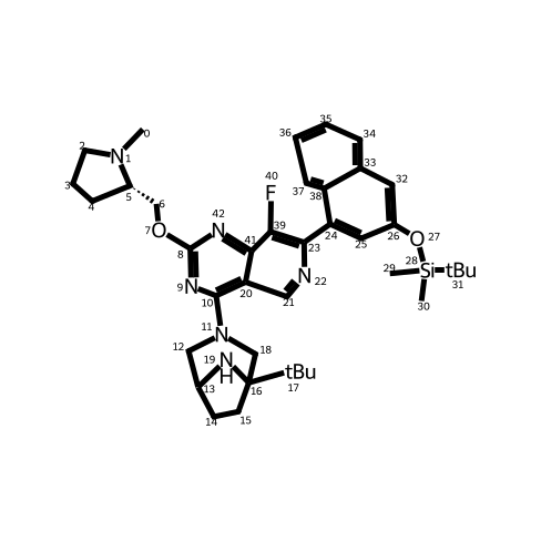 CN1CCC[C@H]1COc1nc(N2CC3CCC(C(C)(C)C)(C2)N3)c2cnc(-c3cc(O[Si](C)(C)C(C)(C)C)cc4ccccc34)c(F)c2n1